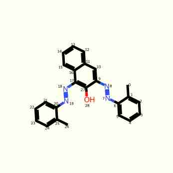 Cc1ccccc1N=Nc1cc2ccccc2c(N=Nc2ccccc2C)c1O